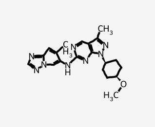 CO[C@H]1CC[C@@H](n2nc(C)c3cnc(Nc4cn5ncnc5cc4C)nc32)CC1